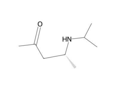 CC(=O)C[C@@H](C)NC(C)C